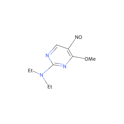 CCN(CC)c1ncc(N=O)c(OC)n1